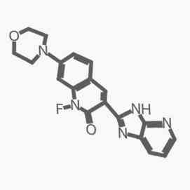 O=c1c(-c2nc3cccnc3[nH]2)cc2ccc(N3CCOCC3)cc2n1F